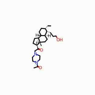 CC[C@H]1CC[C@@H]2[C@H](CC[C@]3(C)[C@@H](C(=O)CN4CCN(C(C)=O)CC4)CC[C@@H]23)[C@H]1CCCO